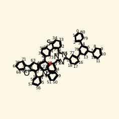 c1ccc(-c2cc(-c3ccccc3)cc(-c3cccc(-c4nc(-c5ccccc5)nc(-c5cccc6sc7ccc(-c8ccc9c(c8)c8ccccc8n9-c8ccccc8-c8cccc9c8oc8ccccc89)cc7c56)n4)c3)c2)cc1